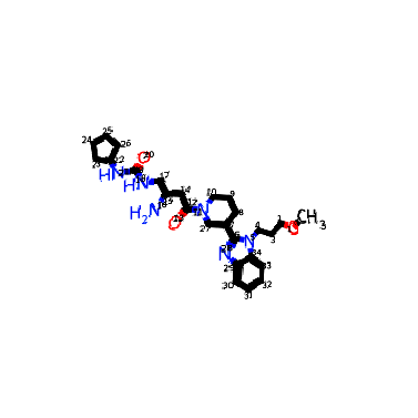 COCCCn1c(C2CCCN(C(=O)CC(N)CNC(=O)NC3CCCC3)C2)nc2ccccc21